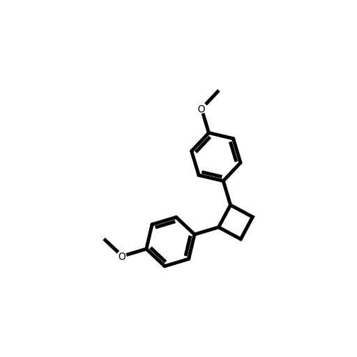 COc1ccc([C]2CCC2c2ccc(OC)cc2)cc1